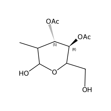 CC(=O)O[C@H]1C(CO)OC(O)C(C)[C@@H]1OC(C)=O